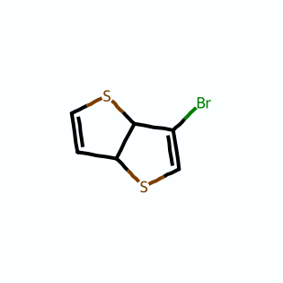 BrC1=CSC2C=CSC12